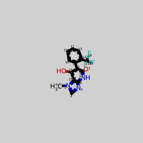 Cn1cnc2[nH]c(=O)c(-c3ccccc3C(F)(F)F)c(O)c21